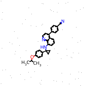 CC(C)Oc1ccc(C2(Nc3cccc4c(-c5ccc(C#N)cc5)ccnc34)CC2)cc1